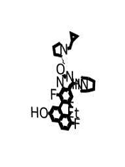 CCc1c(F)ccc2cc(O)cc(-c3c(F)cc4c(N5CC6CCC(C5)N6)nc(OC[C@@H]5CCCN5CC5CC5)nc4c3F)c12